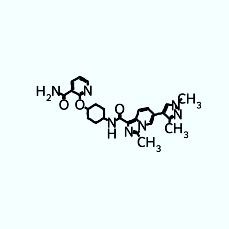 Cc1nn(C)cc1-c1ccc2c(C(=O)NC3CCC(Oc4ncccc4C(N)=O)CC3)nc(C)n2c1